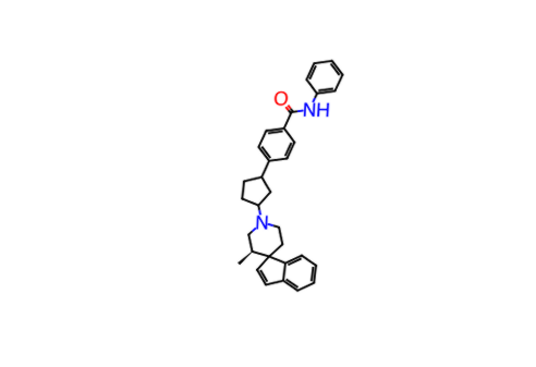 C[C@H]1CN(C2CCC(c3ccc(C(=O)Nc4ccccc4)cc3)C2)CCC12C=Cc1ccccc12